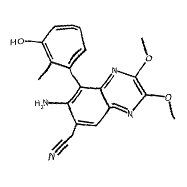 COc1nc2cc(C#N)c(N)c(-c3cccc(O)c3C)c2nc1OC